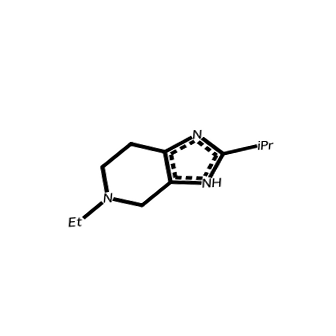 CCN1CCc2nc(C(C)C)[nH]c2C1